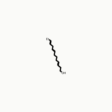 CCC=CCC=CCCCC=CCCO